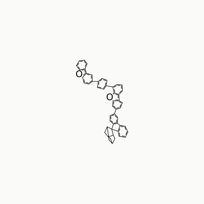 c1ccc2c(c1)-c1cc(-c3ccc4c(c3)oc3c(-c5ccc(-c6ccc7oc8ccccc8c7c6)cc5)cccc34)ccc1C21C2CC3CC(C2)C1C3